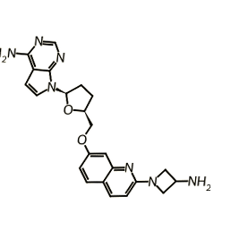 Nc1ncnc2c1ccn2[C@H]1CC[C@@H](COc2ccc3ccc(N4CC(N)C4)nc3c2)O1